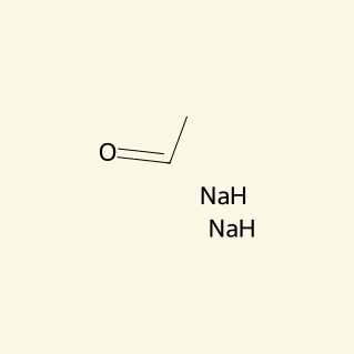 CC=O.[NaH].[NaH]